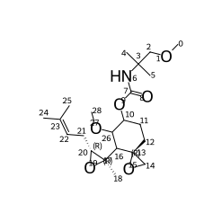 COCC(C)(C)NC(=O)OC1CC[C@]2(CO2)C([C@@]2(C)O[C@@H]2CC=C(C)C)C1OC